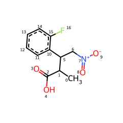 CC(C(=O)O)C(C[N+](=O)[O-])c1ccccc1F